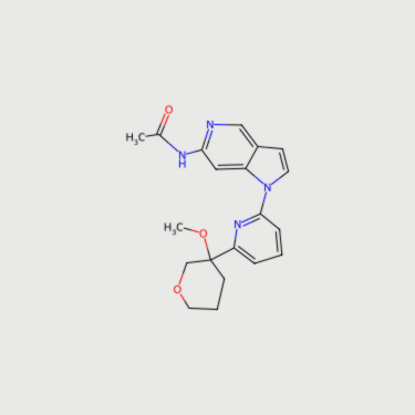 COC1(c2cccc(-n3ccc4cnc(NC(C)=O)cc43)n2)CCCOC1